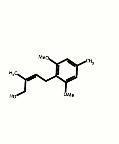 COc1cc(C)cc(OC)c1CC=C(C)CO